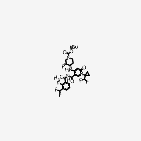 C[C@@H](NC(=O)c1cn(C2(C(F)F)CC2)c(=O)cc1N[C@@H]1CCN(C(=O)OC(C)(C)C)C[C@@H]1F)c1cccc(C(F)F)c1F